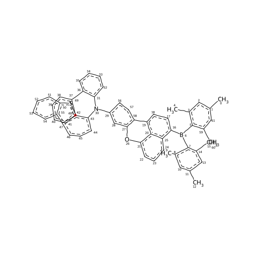 Cc1cc(C)c(B(c2c(C)cc(C)cc2C)c2ccc3c4c(cccc24)Oc2cc(N(c4ccccc4-c4ccccc4)c4cccc5c4sc4ccccc45)ccc2-3)c(C)c1